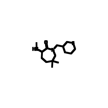 CNC1CCC(C)(C)CN(CC2CCCSC2)C1=O